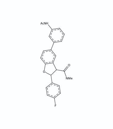 CNC(=O)C1c2cc(-c3cccc(NC(C)=O)c3)ccc2OC1c1ccc(F)cc1